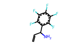 C=CC(N)c1c(F)c(F)c(F)c(F)c1F